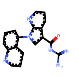 N=C(N)NC(=O)c1cn(-c2cccc3ncccc23)c2ncccc12